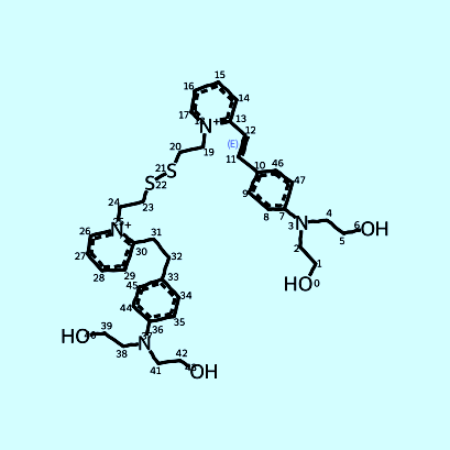 OCCN(CCO)c1ccc(/C=C/c2cccc[n+]2CCSSCC[n+]2ccccc2CCc2ccc(N(CCO)CCO)cc2)cc1